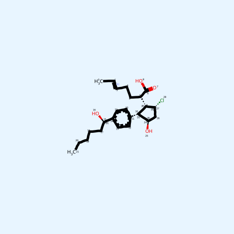 C/C=C/CCC(C(=O)O)[C@H]1[C@@H](c2ccc([C@H](O)CCCCC)cc2)[C@H](O)C[C@H]1Cl